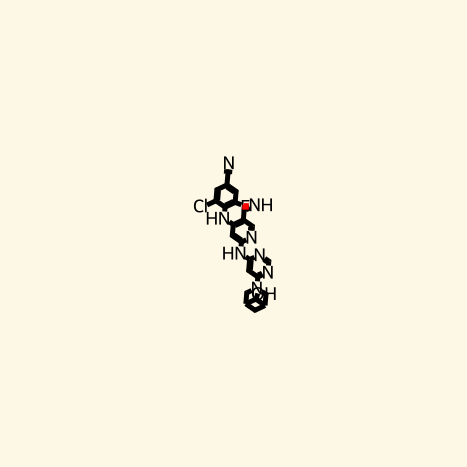 N#Cc1cc(F)c(Nc2cc(Nc3cc(N4CC5CC(C4)C5O)ncn3)ncc2C=N)c(Cl)c1